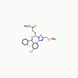 COC(=O)CC[C@@H]1N=C(c2ccccc2F)c2cc(Cl)ccc2-n2cc(COC(C)(C)C)nc21